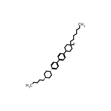 CCCCCCCC1(F)CCC(c2ccc(-c3ccc([C@H]4CC[C@H](CCCCC)CC4)cc3)cc2)CC1